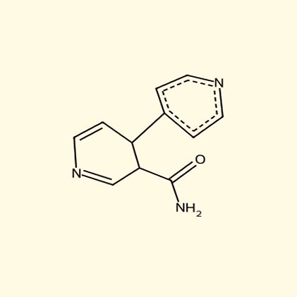 NC(=O)C1C=NC=CC1c1ccncc1